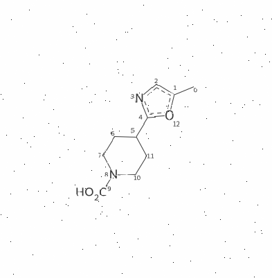 Cc1cnc(C2CCN(C(=O)O)CC2)o1